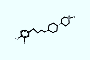 CC[SiH]1CCC([C@H]2CC[C@H](CCCCc3ccc(C#N)c(F)c3)CC2)CC1